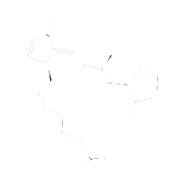 CCc1scnc1C[C@H](O)C/C=C1/C(=O)C=C[C@@H]1C/C=C\CCCC(=O)O